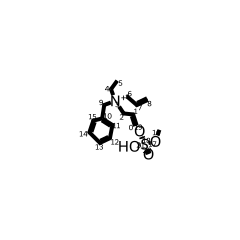 C=CC[N+](CC)(CC=C)Cc1ccccc1.COS(=O)(=O)O